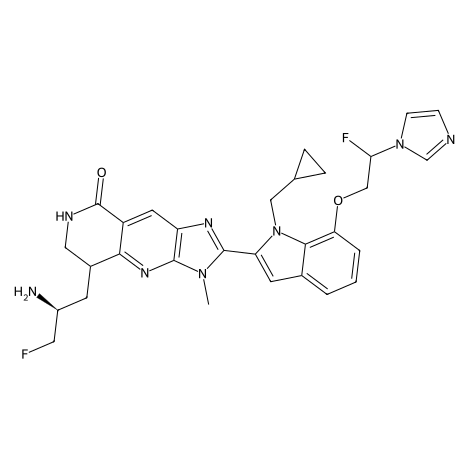 Cn1c(-c2cc3cccc(OCC(F)n4ccnc4)c3n2CC2CC2)nc2cc3c(nc21)C(C[C@H](N)CF)CNC3=O